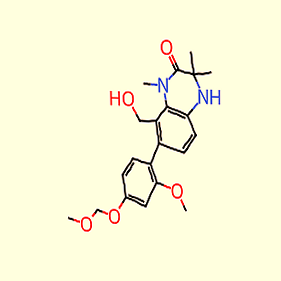 COCOc1ccc(-c2ccc3c(c2CO)N(C)C(=O)C(C)(C)N3)c(OC)c1